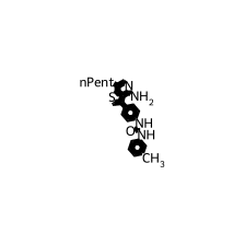 CCCCCc1cnc(N)c2c(-c3ccc(NC(=O)Nc4cccc(C)c4)cc3)csc12